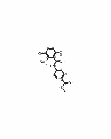 COC(=O)c1ccc(NC(=O)c2c(Cl)ccc(Cl)c2OC)cc1